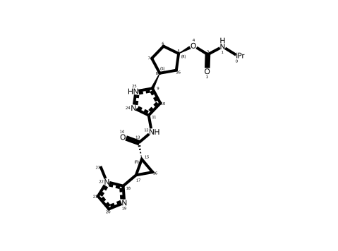 CC(C)NC(=O)O[C@@H]1CC[C@H](c2cc(NC(=O)[C@@H]3CC3c3nccn3C)n[nH]2)C1